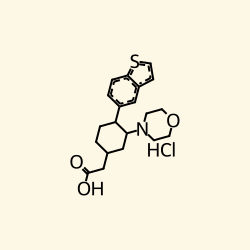 Cl.O=C(O)CC1CCC(c2ccc3sccc3c2)C(N2CCOCC2)C1